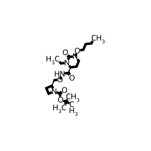 CCCCON1CC[C@@H](C(=O)NOC[C@@H]2CCN2C(=O)OC(C)(C)C)N(CC)C1=O